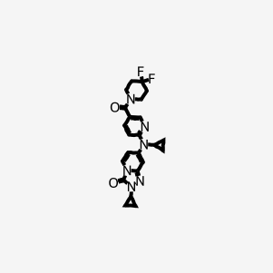 O=C(c1ccc(N(c2ccn3c(=O)n(C4CC4)nc3c2)C2CC2)nc1)N1CCC(F)(F)CC1